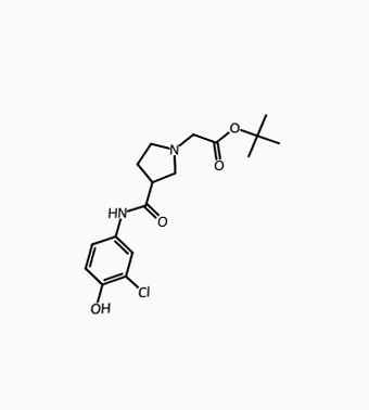 CC(C)(C)OC(=O)CN1CCC(C(=O)Nc2ccc(O)c(Cl)c2)C1